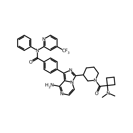 CN(C)C1(C(=O)N2CCCC(c3nc(-c4ccc(C(=O)N(c5ccccc5)c5cc(C(F)(F)F)ccn5)cc4)c4c(N)nccn34)C2)CCC1